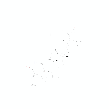 Cc1ccnc2c1[C@]1(O)C(C[C@]3(C)[C@H]4CC[C@@H]5C6=C(C(C)C)C(=O)C[C@]6(C)CC[C@@]5(C)[C@]4(C)CC[C@H]3C1(C)C)NC2=O